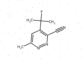 Cc1cc(C(C)(C)F)c(C#N)nn1